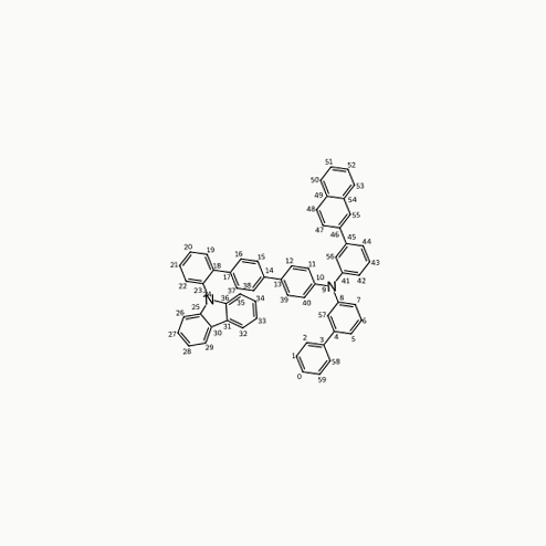 c1ccc(-c2cccc(N(c3ccc(-c4ccc(-c5ccccc5-n5c6ccccc6c6ccccc65)cc4)cc3)c3cccc(-c4ccc5ccccc5c4)c3)c2)cc1